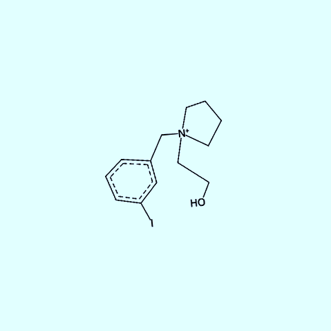 OCC[N+]1(Cc2cccc(I)c2)CCCC1